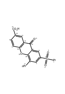 CCCc1cc(S(=O)(=O)C(C)C)cc2c(=O)c3cc(C(=O)O)ccc3oc12